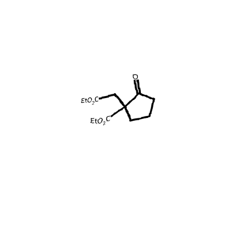 CCOC(=O)CC1(C(=O)OCC)CCCC1=O